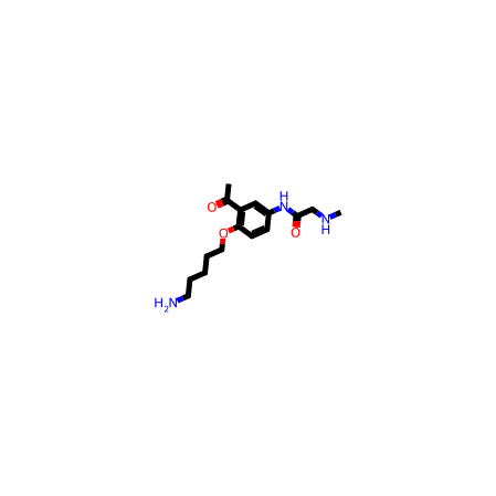 CNCC(=O)Nc1ccc(OCCCCCN)c(C(C)=O)c1